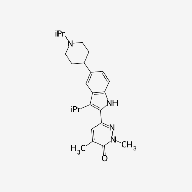 Cc1cc(-c2[nH]c3ccc(C4CCN(C(C)C)CC4)cc3c2C(C)C)nn(C)c1=O